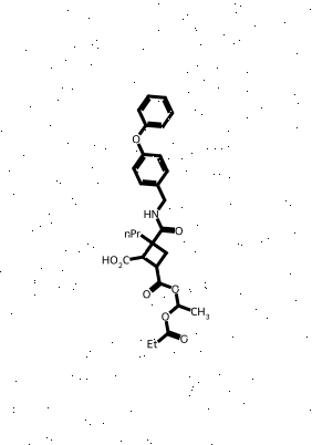 CCCC1(C(=O)NCc2ccc(Oc3ccccc3)cc2)CC(C(=O)OC(C)OC(=O)CC)C1C(=O)O